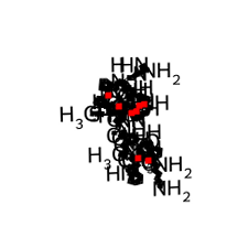 CSCC[C@@H](NC(=O)[C@@H](Cc1c[nH]c2ccccc12)NC(=O)[C@@H](CO)NC(=O)[C@H]1CCCN1C(=O)[C@H](NC(=O)[C@@H](Cc1c[nH]c2ccccc12)NC(=O)[C@]1(N2C(=O)C=CC2=O)NCCC1C(=O)[C@@H](N)CCCCN)C(C)C)C(=O)N1CCC[C@@H]1C(=O)N1CCC[C@@H]1C(=O)N[C@H](CCCNC(=N)N)C(=O)N[C@H](Cc1c[nH]cn1)C(=O)N[C@@H](C(N)=O)[C@H](C)O